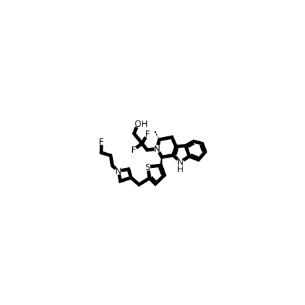 C[C@@H]1Cc2c([nH]c3ccccc23)[C@@H](c2ccc(CC3CN(CCCF)C3)s2)N1CC(F)(F)CO